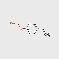 C=Cc1ccc(OCS)cc1